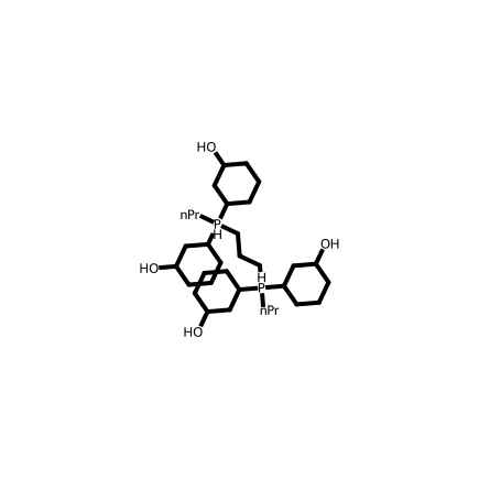 CCC[PH](CCC[PH](CCC)(C1CCCC(O)C1)C1CCCC(O)C1)(C1CCCC(O)C1)C1CCCC(O)C1